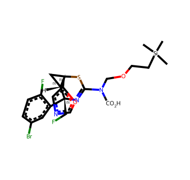 C[Si](C)(C)CCOCN(C(=O)O)C1=N[C@](CF)(c2cc(Br)ccc2F)[C@@H]2C[C@]2(c2cnco2)S1